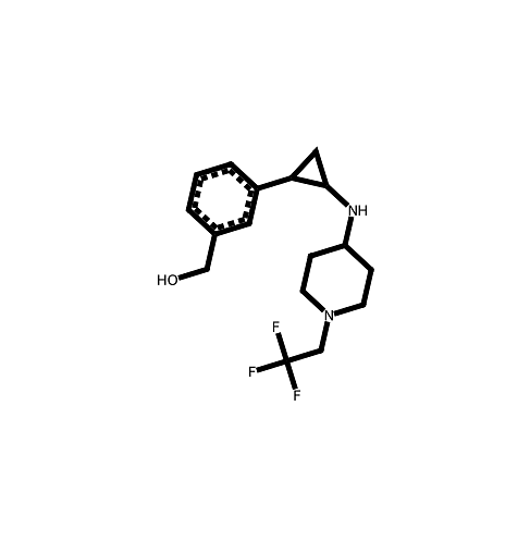 OCc1cccc(C2CC2NC2CCN(CC(F)(F)F)CC2)c1